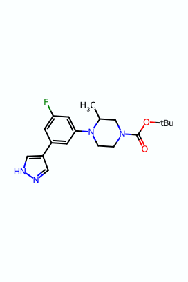 CC1CN(C(=O)OC(C)(C)C)CCN1c1cc(F)cc(-c2cn[nH]c2)c1